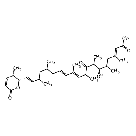 CC(/C=C/CC(C)CC(C)/C=C/[C@@H]1OC(=O)C=C[C@@H]1C)=C\C(C)C(=O)C(C)[C@H](O)C(C)C/C(C)=C/C(=O)O